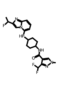 CC(F)c1cn2c(PC3CCC(NC(=O)c4cn(C)nc4C(F)F)CC3)cccc2n1